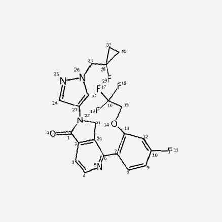 O=C1c2ccnc(-c3ccc(F)cc3OCC(F)(F)F)c2CN1c1cnn(CC2(F)CC2)c1